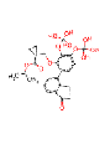 CC(C)OC(=O)C1(COc2c(-c3cccc4c3CCC4=O)ccc(OC(O)(O)O)c2OC(O)(O)O)CC1